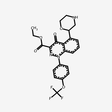 CCOC(=O)c1nn(-c2ccc(OC(F)(F)F)cc2)c2cccc(C3CNCCO3)c2c1=O